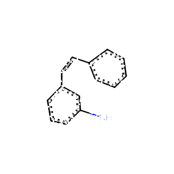 Nc1cccc(/C=C\c2ccccc2)c1